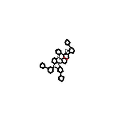 c1ccc(-c2cccc(N3c4cc(-c5ccccc5)ccc4B4c5ccccc5N(c5ccccc5-c5cccc6c5oc5c(-c7ccccc7)cccc56)c5cccc3c54)c2)cc1